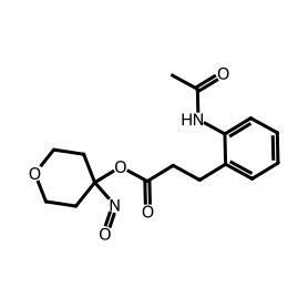 CC(=O)Nc1ccccc1CCC(=O)OC1(N=O)CCOCC1